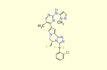 Cc1cnc(Nc2ccnn2C)nc1-c1cc2n(c1)C[C@H](CF)n1c-2nnc1C(F)(F)c1ccccc1Cl